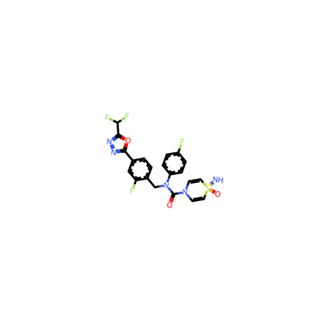 N=S1(=O)C=CN(C(=O)N(Cc2ccc(-c3nnc(C(F)F)o3)cc2F)c2ccc(F)cc2)C=C1